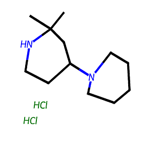 CC1(C)CC(N2CCCCC2)CCN1.Cl.Cl